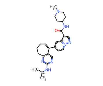 C[C@@H](Nc1ncc2c(n1)CCCC=C2c1ccn2ncc(C(=O)NC3CCN(C)CC3)c2c1)C(F)(F)F